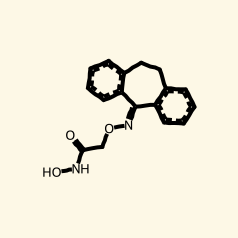 O=C(CON=C1c2ccccc2CCc2ccccc21)NO